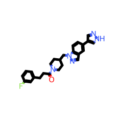 O=C(CCc1cccc(F)c1)N1CCC(Cn2ncc3cc(-c4cn[nH]c4)ccc32)CC1